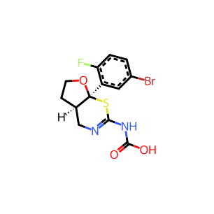 O=C(O)NC1=NC[C@H]2CCO[C@@]2(c2cc(Br)ccc2F)S1